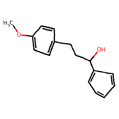 COc1ccc(CCC(O)c2ccccc2)cc1